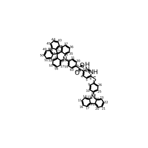 O=S(=O)(C1=CC=C(Sc2ccc(-n3c4ccccc4c4ccccc43)cc2)NN1)c1ccc(N2c3ccccc3C(c3ccccc3)(c3ccccc3)c3ccccc32)cc1